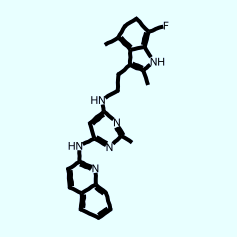 CC1=c2c(CCNc3cc(Nc4ccc5ccccc5n4)nc(C)n3)c(C)[nH]c2=C(F)CC1